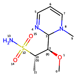 CO[C@H](C1N=CC=CN1C)[C@H](C)S(N)(=O)=O